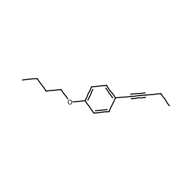 CCC#Cc1ccc(OCCCC)cc1